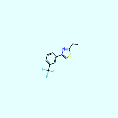 CCc1nc(-c2cccc(C(F)(F)F)c2)cs1